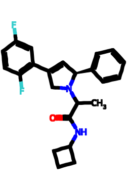 CC(C(=O)NC1CCC1)N1CC(c2cc(F)ccc2F)=C[C@H]1c1ccccc1